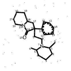 CC1CCCC(C)N1CCC1(c2ccccc2)CC2CCCCN2C1=O